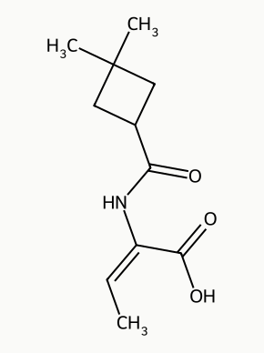 C/C=C(/NC(=O)C1CC(C)(C)C1)C(=O)O